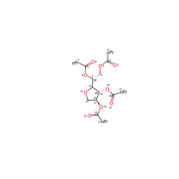 CCCC(=O)OC[C@@H](OC(=O)CCC)C1OC[C@H](OC(=O)CCC)[C@H]1OC(=O)CCC